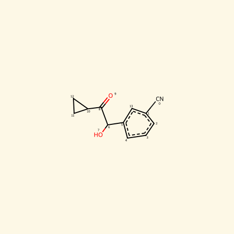 N#Cc1cccc(C(O)C(=O)C2CC2)c1